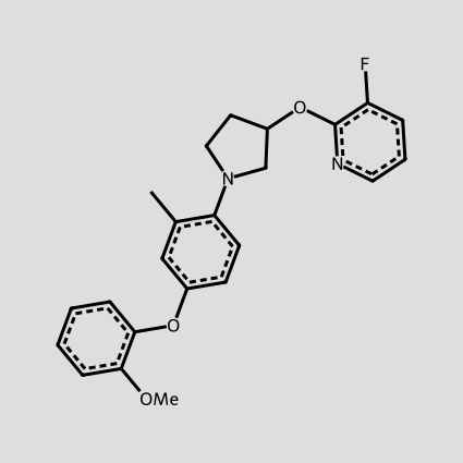 COc1ccccc1Oc1ccc(N2CCC(Oc3ncccc3F)C2)c(C)c1